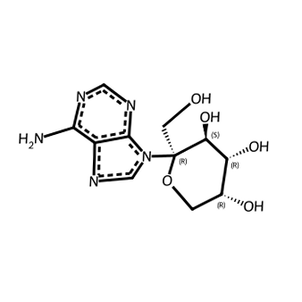 Nc1ncnc2c1ncn2[C@]1(CO)OC[C@@H](O)[C@@H](O)[C@@H]1O